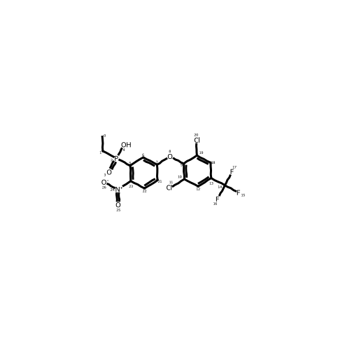 CCP(=O)(O)c1cc(Oc2c(Cl)cc(C(F)(F)F)cc2Cl)ccc1[N+](=O)[O-]